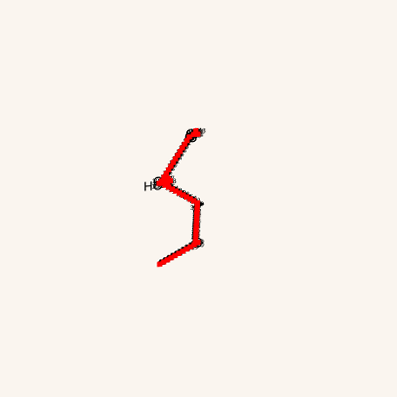 CCCCCCCCCCCCCCCCCC[C@H](C)[C@H](CCCCCCCCCCCCCCCC[C@H](C)C1C[C@H]1CCCCCCCCCCCCCCCCCC[C@@H](O[Si](C)(C)C(C)(C)C)[C@@](C)(CCCCCCCCCCCCCCCCCCCCCCCCOS(=O)(=O)c1ccc(C)cc1)C(=O)O)OC